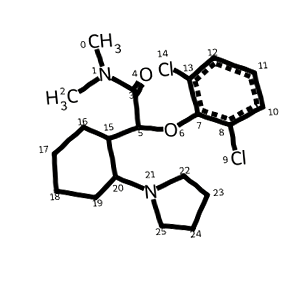 CN(C)C(=O)C(Oc1c(Cl)cccc1Cl)C1CCCCC1N1CCCC1